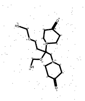 O=C1CCN(CC(CCOCS)(OCS)N2CCC(=O)CC2)CC1